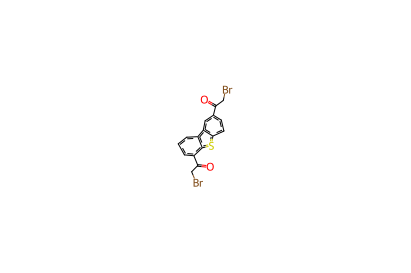 O=C(CBr)c1ccc2sc3c(C(=O)CBr)cccc3c2c1